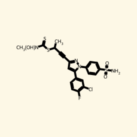 CC(C#Cc1cc(-c2ccc(F)c(Cl)c2)n(-c2ccc(S(N)(=O)=O)cc2)n1)SC(=S)N(C)O